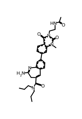 CCCN(CCC)C(=O)C1=Cc2ccc(-c3ccc4c(=O)n(CCNC(C)=O)c(=O)n(C)c4c3)cc2N=C(N)C1